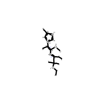 CCOC(C)(C)/C(CC)=N/C(OC)=C(\C)n1cnc(C)c1